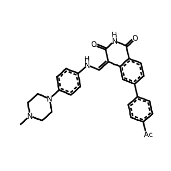 CC(=O)c1ccc(-c2ccc3c(c2)C(=CNc2ccc(N4CCN(C)CC4)cc2)C(=O)NC3=O)cc1